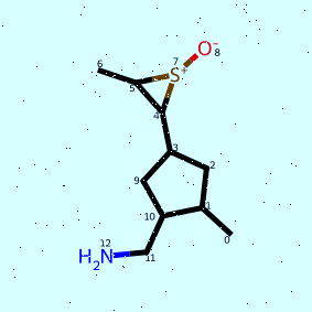 CC1CC(C2C(C)[S+]2[O-])CC1CN